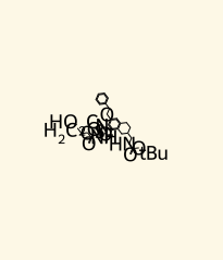 C=CCOC(=O)NS(=O)(=O)N(CC(=O)O)c1c(OCc2ccccc2)cc2c(c1F)CC(CNC(=O)OC(C)(C)C)CC2